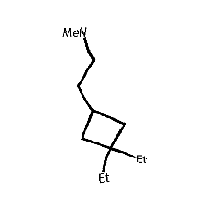 CCC1(CC)CC(CCNC)C1